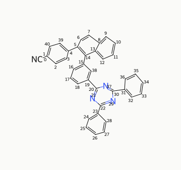 N#Cc1ccc(-c2ccc3ccccc3c2-c2cccc(-c3nc(-c4ccccc4)nc(-c4ccccc4)n3)c2)cc1